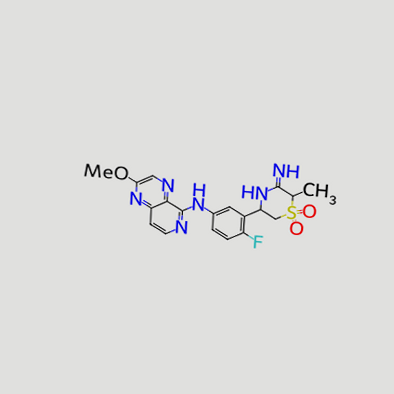 COc1cnc2c(Nc3ccc(F)c(C4CS(=O)(=O)C(C)C(=N)N4)c3)nccc2n1